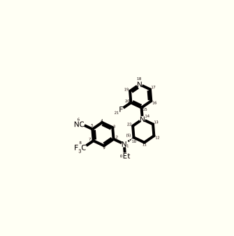 CCN(c1ccc(C#N)c(C(F)(F)F)c1)[C@H]1CCCN(c2ccncc2F)C1